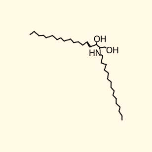 CCCCCCCCCCCCCC=CC(O)C(CO)NCCCCCCCCCCCCCCCC